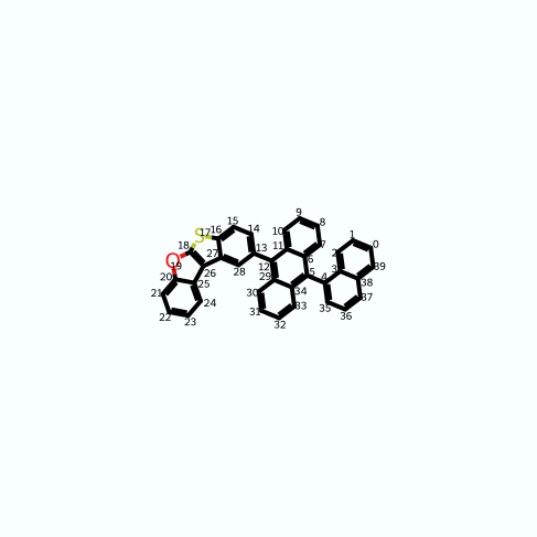 c1ccc2c(-c3c4ccccc4c(-c4ccc5sc6oc7ccccc7c6c5c4)c4ccccc34)cccc2c1